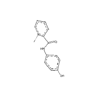 C[n+]1ccc[c]c1C(=O)Nc1ccc(O)cc1